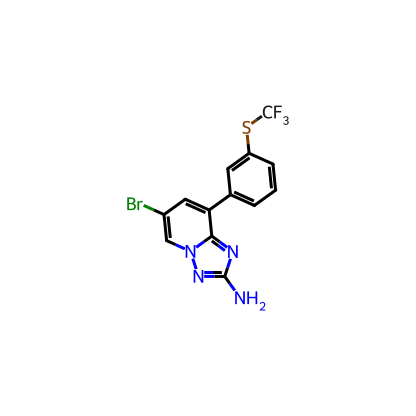 Nc1nc2c(-c3cccc(SC(F)(F)F)c3)cc(Br)cn2n1